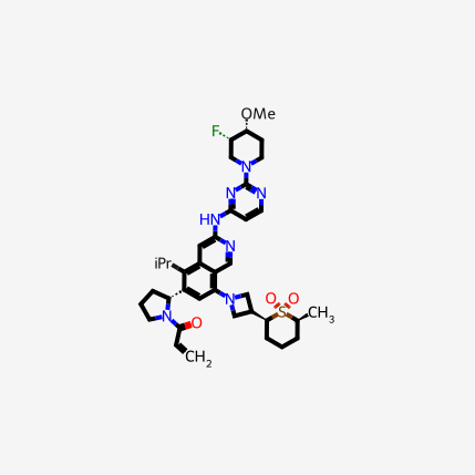 C=CC(=O)N1CCC[C@@H]1c1cc(N2CC([C@@H]3CCC[C@H](C)S3(=O)=O)C2)c2cnc(Nc3ccnc(N4CC[C@@H](OC)[C@@H](F)C4)n3)cc2c1C(C)C